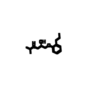 CCCc1ccccc1OC[C@@H](O)CNC(C)C